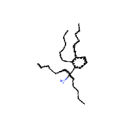 CCCCCc1cccc(C(N)(CCCCC)CCCCC)c1CCCCC